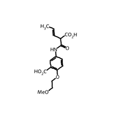 CC=CC(C(=O)O)C(=O)Nc1ccc(OCCOC)c(C(=O)O)c1